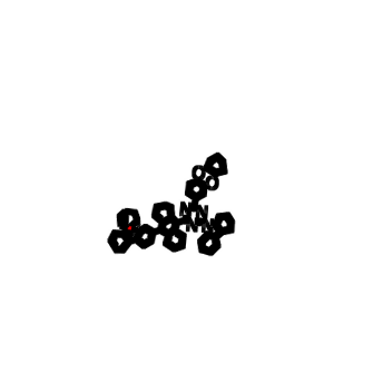 c1ccc2c(c1)Oc1ccc(-c3nc(-c4c5ccccc5c(-c5ccc6c(c5)C5(c7ccccc7-6)C6CC7CC(C6)CC5C7)c5ccccc45)nc(-n4c5ccccc5c5ccccc54)n3)cc1O2